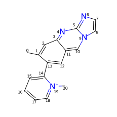 Cc1cc2nc3nccn3cc2cc1-c1cccc[n+]1C